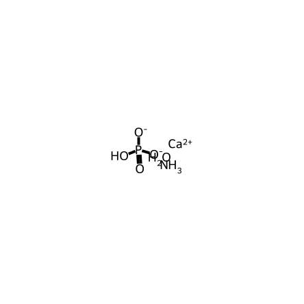 N.O.O=P([O-])([O-])O.[Ca+2]